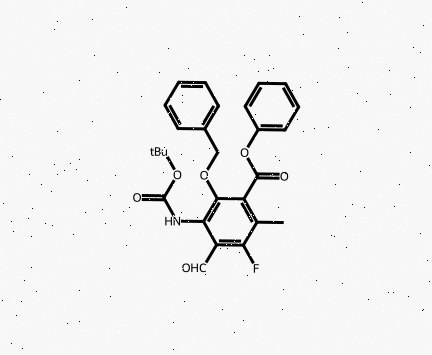 Cc1c(F)c(C=O)c(NC(=O)OC(C)(C)C)c(OCc2ccccc2)c1C(=O)Oc1ccccc1